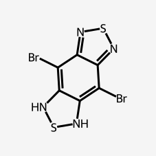 Brc1c2c(c(Br)c3nsnc13)NSN2